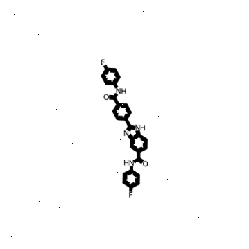 O=C(Nc1ccc(F)cc1)c1ccc(-c2nc3cc(C(=O)Nc4ccc(F)cc4)ccc3[nH]2)cc1